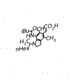 CCCCCCC(C)N1CCc2c(C)c(CC(=O)O)c(C)c(NC(=O)C(C)CC)c21